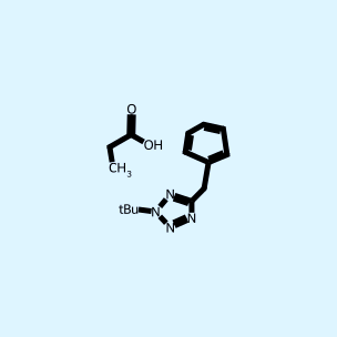 CC(C)(C)n1nnc(Cc2ccccc2)n1.CCC(=O)O